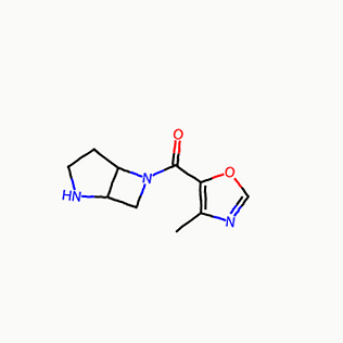 Cc1ncoc1C(=O)N1CC2NCCC21